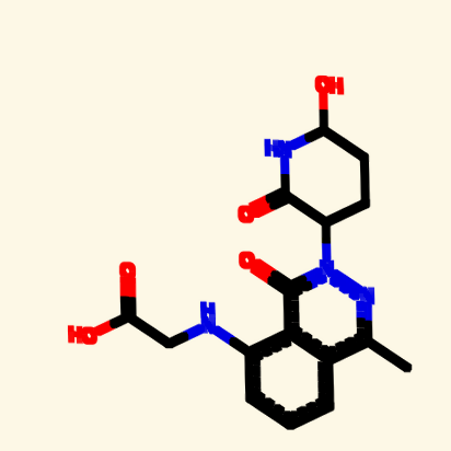 Cc1nn(C2CCC(O)NC2=O)c(=O)c2c(NCC(=O)O)cccc12